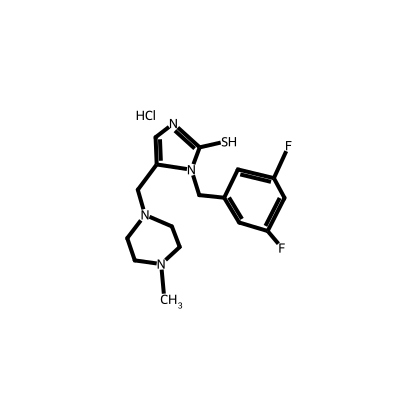 CN1CCN(Cc2cnc(S)n2Cc2cc(F)cc(F)c2)CC1.Cl